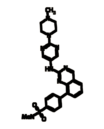 CNS(=O)(=O)c1ccc(-c2cccc3cnc(Nc4cnc(N5CCN(C)CC5)nc4)nc23)cc1